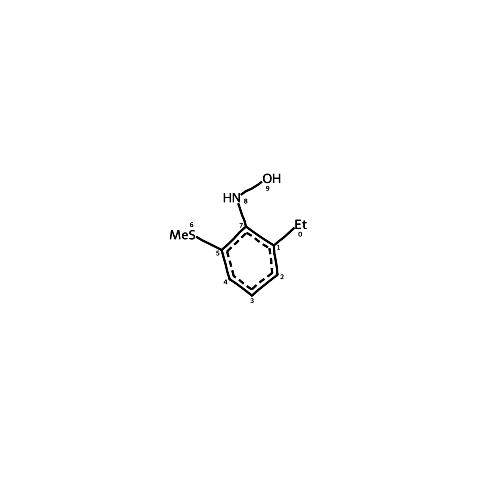 CCc1cccc(SC)c1NO